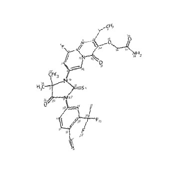 CCc1nc2c(F)cc(N3C(=S)N(c4ccc(C#N)c(C(F)(F)F)c4)C(=O)C3(C)C)cn2c(=O)c1OCC(N)=O